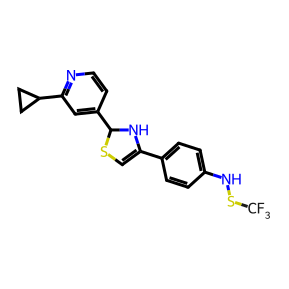 FC(F)(F)SNc1ccc(C2=CSC(c3ccnc(C4CC4)c3)N2)cc1